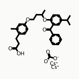 Cc1cc(OCCC(C)Oc2ccc(C(C)C)cc2C(=O)c2ccccc2)ccc1CCC(=O)O.O=C([O-])[O-].[Cs+].[Cs+]